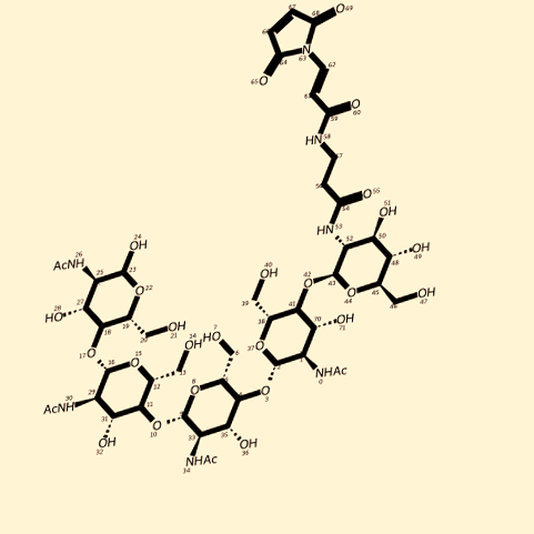 CC(=O)N[C@H]1[C@H](OC2[C@@H](CO)O[C@@H](OC3[C@@H](CO)O[C@@H](OC4[C@@H](CO)OC(O)[C@H](NC(C)=O)[C@H]4O)[C@H](NC(C)=O)[C@H]3O)[C@H](NC(C)=O)[C@H]2O)O[C@H](CO)C(O[C@@H]2O[C@H](CO)[C@@H](O)[C@H](O)[C@H]2NC(=O)CCNC(=O)C=CN2C(=O)C=CC2=O)[C@@H]1O